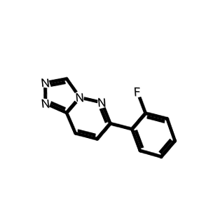 Fc1ccccc1-c1ccc2nncn2n1